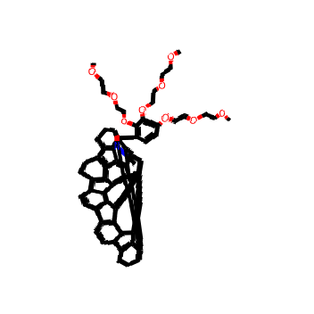 COCCOCCOc1ccc(C2N(C)CC34c5c6c7c8c9c5=C5CCC=9C9C=CC%10C%11C=CC%12C%13=c%14c%15c(c-6c6c%14=C(CC%13)C(CCC53)C624)C7=C(C%10C89)C%11C%15%12)c(OCCOCCOC)c1OCCOCCOC